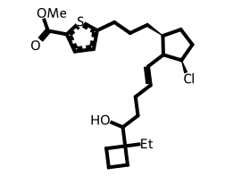 CCC1(C(O)CC/C=C/C2[C@@H](CCCc3ccc(C(=O)OC)s3)CC[C@H]2Cl)CCC1